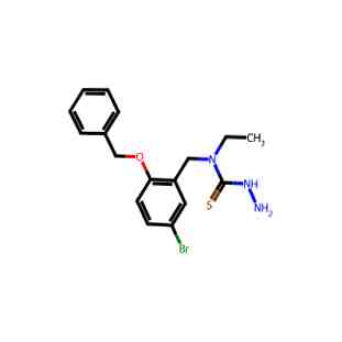 CCN(Cc1cc(Br)ccc1OCc1ccccc1)C(=S)NN